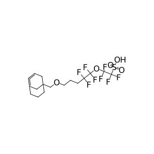 O=S(=O)(O)C(F)(F)C(F)(F)OC(F)(F)C(F)(F)CCCOCC12CC=C=C(CCC1)C2